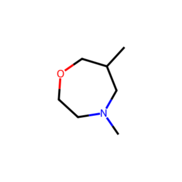 CC1COCCN(C)C1